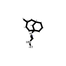 CCN/C=N/C12CCCC(CC(C)CC1)C2